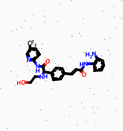 Nc1ccccc1NC(=O)C=Cc1ccc(C(NCCO)C(=O)Nc2ccc(C(F)(F)F)cn2)cc1